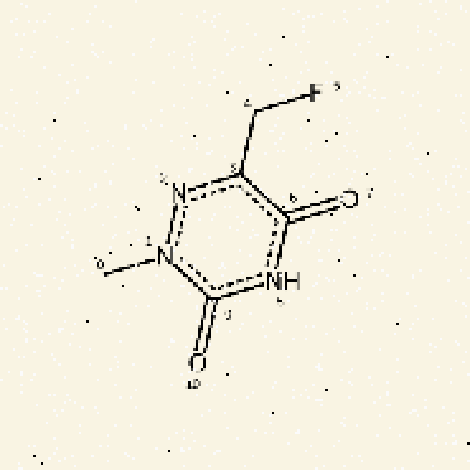 Cn1nc(CF)c(=O)[nH]c1=O